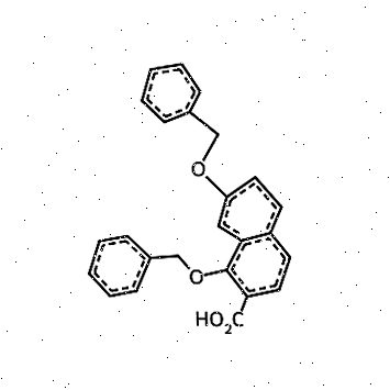 O=C(O)c1ccc2ccc(OCc3ccccc3)cc2c1OCc1ccccc1